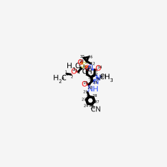 C=CCOCC(C)(C)S(=O)(=O)C1(CN2CCc3c(C(=O)NCc4ccc(C#N)cc4)nn(C)c3C2=O)CC1